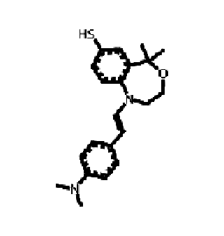 CN(C)c1ccc(C=CN2CCOC(C)(C)c3cc(S)ccc32)cc1